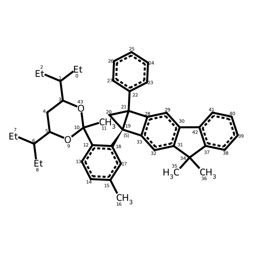 CCC(CC)C1CC(C(CC)CC)OC(C)(c2ccc(C)cc2[C@@]23CC2(c2ccccc2)c2cc4c(cc23)C(C)(C)c2ccccc2-4)O1